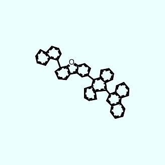 c1ccc2c(-c3cccc4c3oc3ccc(-c5c6ccccc6c(-c6cc7ccccc7c7ccccc67)c6ccccc56)cc34)cccc2c1